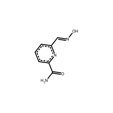 NC(=O)c1cccc(C=NO)n1